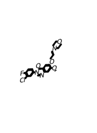 COc1cc2ncn(-c3ccc(F)c(Cl)c3)c(=O)c2cc1OCCCN1CCOCC1